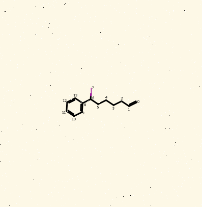 C=CCCCCC(I)c1ccccc1